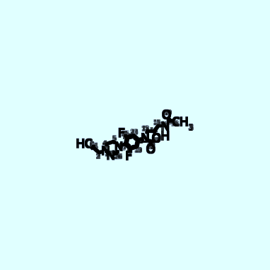 C#CCN1CCN(c2c(F)cc(N3CC(CNC(C)=O)OC3=O)cc2F)C=N1